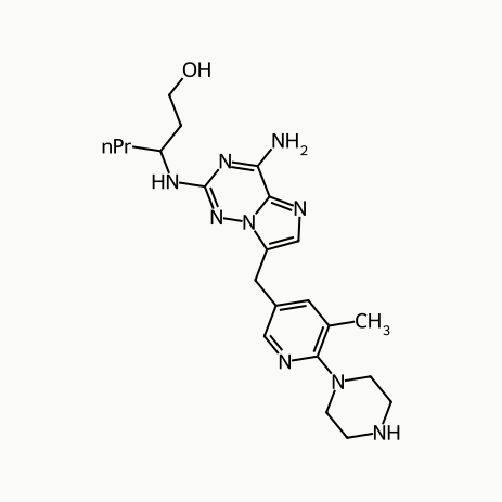 CCCC(CCO)Nc1nc(N)c2ncc(Cc3cnc(N4CCNCC4)c(C)c3)n2n1